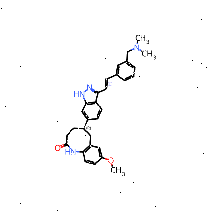 COc1ccc2c(c1)C[C@H](c1ccc3c(/C=C/c4cccc(CN(C)C)c4)n[nH]c3c1)CCC(=O)N2